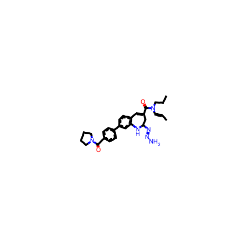 CC=CN(CCC)C(=O)C1=Cc2ccc(-c3ccc(C(=O)N4CCCC4)cc3)cc2NC(N=NN)C1